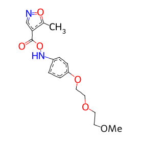 COCCOCCOc1ccc(NOC(=O)c2cnoc2C)cc1